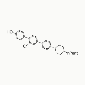 CCCCC[C@H]1CC[C@H](c2ccc(-c3ccc(-c4ccc(O)cc4)c(Cl)c3)cc2)CC1